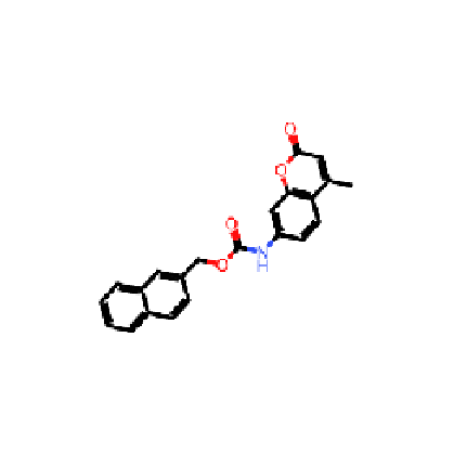 Cc1cc(=O)oc2cc(NC(=O)OCc3ccc4ccccc4c3)ccc12